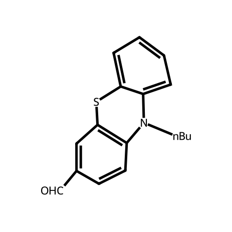 CCCCN1c2ccccc2Sc2cc(C=O)ccc21